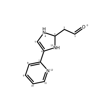 O=CCC1NC=C(c2ccccn2)N1